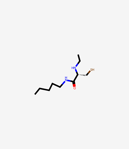 CCCCCNC(=O)[C@@H](CS)NCC